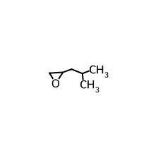 CC(C)CC1CO1